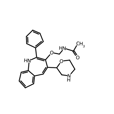 CC(=O)NCOC1=C(c2ccccc2)Nc2ccccc2C=C1C1CNCCO1